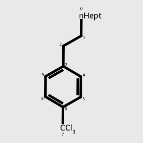 CCCCCCCCCc1ccc(C(Cl)(Cl)Cl)cc1